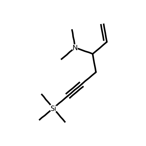 C=CC(CC#C[Si](C)(C)C)N(C)C